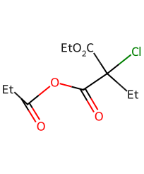 CCOC(=O)C(Cl)(CC)C(=O)OC(=O)CC